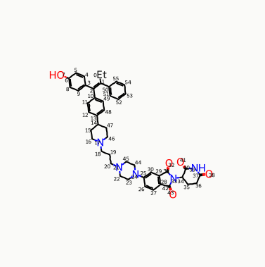 CCC(=C(c1ccc(O)cc1)c1ccc(C2CCN(CCCN3CCN(c4ccc5c(c4)C(=O)N(C4CCC(=O)NC4=O)C5=O)CC3)CC2)cc1)c1ccccc1